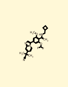 C=C(NCC1CCC1)c1c(OC)cc(-c2cnc3cc(C(C)(C)C#N)ccn23)cc1OC(F)F